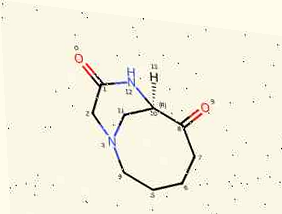 O=C1CN2CCCCC(=O)[C@@H](C2)N1